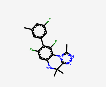 Cc1cc(F)cc(-c2c(F)cc3c(c2F)-n2c(C)nnc2C(C)(C)N3)c1